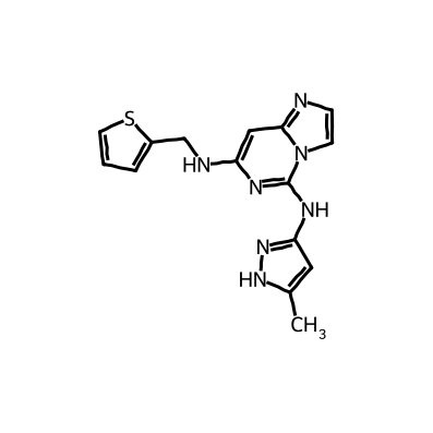 Cc1cc(Nc2nc(NCc3cccs3)cc3nccn23)n[nH]1